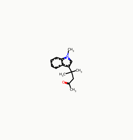 CC(=O)CC(C)(C)c1cn(C)c2ccccc12